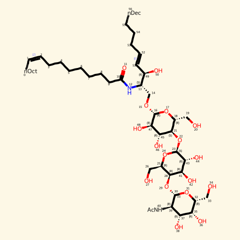 CCCCCCCC/C=C\CCCCCCCC(=O)N[C@@H](CO[C@@H]1O[C@H](CO)[C@@H](O[C@@H]2O[C@H](CO)[C@H](O[C@@H]3O[C@H](CO)[C@H](O)[C@H](O)[C@H]3NC(C)=O)[C@H](O)[C@H]2O)[C@H](O)[C@H]1O)[C@H](O)/C=C/CCCCCCCCCCCCC